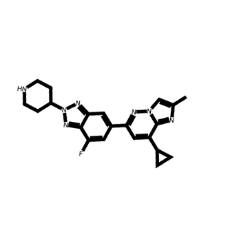 Cc1cn2nc(-c3cc(F)c4nn(C5CCNCC5)nc4c3)cc(C3CC3)c2n1